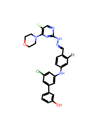 CCc1cc(Nc2cc(Cl)cc(-c3cccc(O)c3)c2)ccc1/C=N/Nc1ncc(F)c(N2CCOCC2)n1